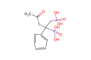 CC(=O)SC(CP(=O)(O)O)(c1ccccc1)P(=O)(O)O